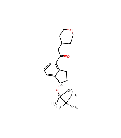 CC(C)(C)[Si](C)(C)O[C@H]1CCc2c(C(=O)CC3CCOCC3)cccc21